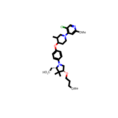 COCCCO[C@H]1CN(c2ccc(OC3CCN(c4cc(OC)ncc4Cl)CC3C)cc2)[C@@H](CC(=O)O)C1(C)C